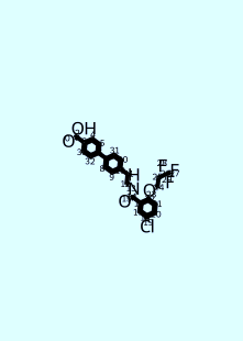 O=C(O)c1ccc(-c2ccc(CCNC(=O)c3cc(Cl)ccc3OCCC(F)(F)F)cc2)cc1